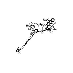 COc1c2c(c(O)c3c4c(c(C)cc13)C1OC3(CNC(=O)OCc5ccc(O[C@@H]6O[C@H](C(=O)O)[C@@H](O)[C@H](O)[C@H]6O)c(-n6cc(COCCOCCOCCOCCN7C(=O)C=CC7=O)nn6)c5)OC1[C@@](OC)(O4)[C@@]3(O)CBr)C(=O)CCC2